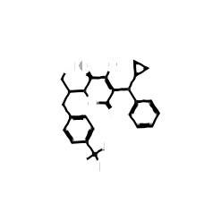 CCC(Cc1ccc(C(F)(F)F)cc1)C1OC(=O)C(C(c2ccccc2)C2CC2)=C(O)C1=O